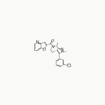 C[C@H]1c2nn(C)c(-c3cccc(Cl)c3)c2CCN1C(=O)c1cc2ncccc2o1